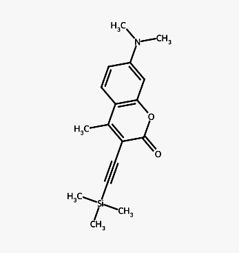 Cc1c(C#C[Si](C)(C)C)c(=O)oc2cc(N(C)C)ccc12